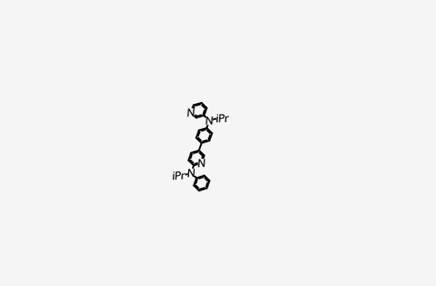 CC(C)N(c1ccc(-c2ccc(N(c3ccccc3)C(C)C)nc2)cc1)c1cccnc1